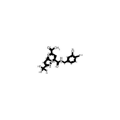 CC(=O)c1cc(C(=O)NCc2ccc(F)c(Cl)c2)n2nc(C(F)(F)F)cc2n1